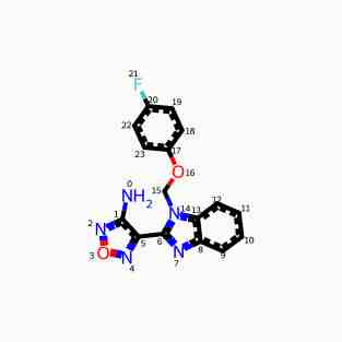 Nc1nonc1-c1nc2ccccc2n1COc1ccc(F)cc1